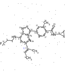 C/C=C(\C)c1cc(NCCC(F)(F)F)c2ncc(-c3ccc(C(=O)NC4CC4)c(C)c3)n2n1